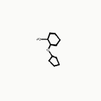 OC1CCCCC1OC1CCCC1